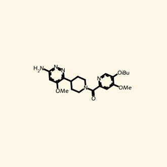 COc1cc(C(=O)N2CCC(c3nnc(N)cc3OC)CC2)ncc1OCC(C)C